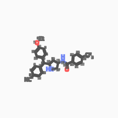 CCOc1ccc(C(c2ccc(C#N)cc2)C2CC(NC(=O)c3ccc(C(F)(F)F)cc3)CN2)cc1